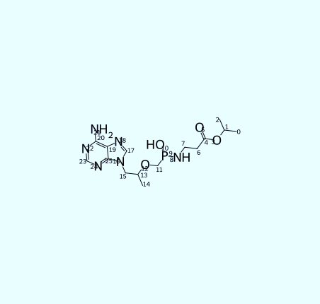 CC(C)OC(=O)CCNP(O)COC(C)Cn1cnc2c(N)ncnc21